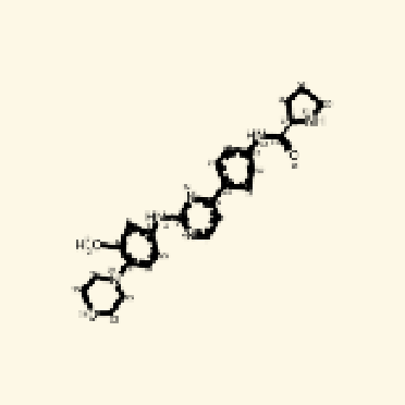 Cc1cc(Nc2nccc(-c3ccc(NC(=O)[C@H]4CCCN4)cc3)n2)ccc1N1CCOCC1